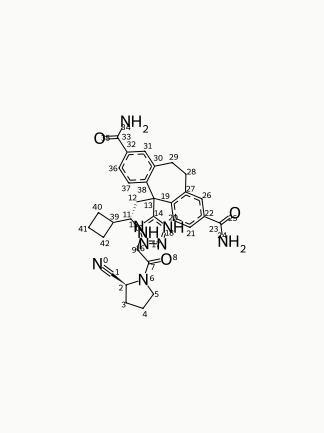 N#C[C@@H]1CCCN1C(=O)CN[C@@H](CC1(c2nnn[nH]2)c2ccc(C(N)=O)cc2CCc2cc(C(N)=O)ccc21)C1CCC1